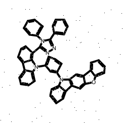 c1ccc(-c2nnc(-c3cccc4c5ccccc5n(-c5cccc(-n6c7ccccc7c7cc8oc9ccccc9c8cc76)c5)c34)n2-c2ccccc2)cc1